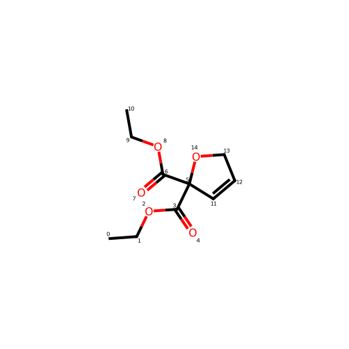 CCOC(=O)C1(C(=O)OCC)C=CCO1